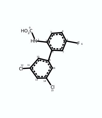 O=C(O)Nc1ccc(F)cc1-c1cc(Cl)cc(Cl)c1